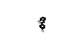 O=C(Cc1ccccc1Cl)c1ccc(Cl)cc1